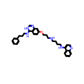 C1=Nc2cc(OCCCNCCCCNc3ccnc4ccccc34)ccc2C(NCCCc2ccccc2)N1